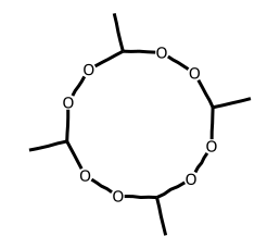 CC1OOC(C)OOC(C)OOC(C)OO1